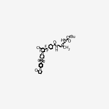 CN(CCNC(=O)OC(C)(C)C)CCNC(=O)[C@H]1CC[C@H](C(F)(F)c2cc(Cl)nc(N3CCN(S(=O)(=O)c4ccc(N5CCCC5=O)cc4)CC3)c2)CC1